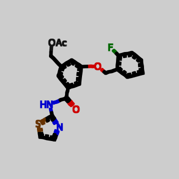 CC(=O)OCc1cc(OCc2ccccc2F)cc(C(=O)Nc2nccs2)c1